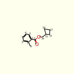 Cc1ccccc1C(=O)OCC1CCC1